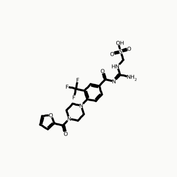 NC(=NC(=O)c1ccc(N2CCN(C(=O)c3ccco3)CC2)c(C(F)(F)F)c1)NCS(=O)(=O)O